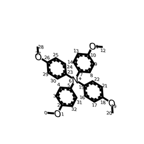 COc1ccc([N+](c2ccc(OC)cc2)(c2ccc(OC)cc2)c2ccc(OC)cc2)cc1